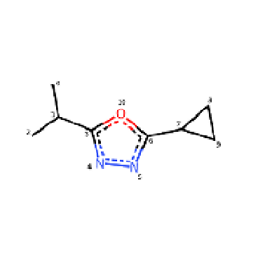 CC(C)c1nnc(C2CC2)o1